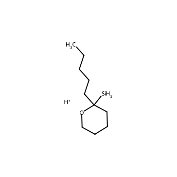 CCCCCC1([SiH3])CCCCO1.[H+]